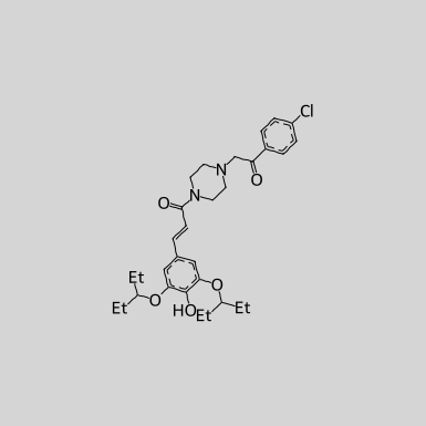 CCC(CC)Oc1cc(C=CC(=O)N2CCN(CC(=O)c3ccc(Cl)cc3)CC2)cc(OC(CC)CC)c1O